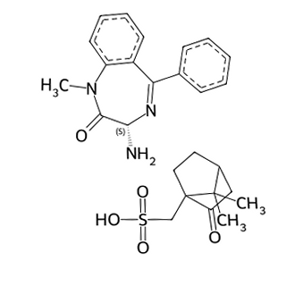 CC1(C)C2CCC1(CS(=O)(=O)O)C(=O)C2.CN1C(=O)[C@@H](N)N=C(c2ccccc2)c2ccccc21